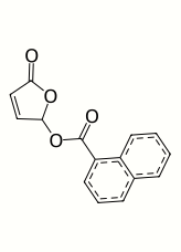 O=C1C=CC(OC(=O)c2cccc3ccccc23)O1